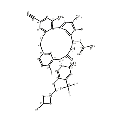 Cc1cc2cc(c1F)[C@H](CC(=O)O)NC(=O)[C@H](n1cc(CCN3CC(F)C3)c(C(F)(F)F)cc1=O)c1cc(ccc1F)COc1cc(C#N)cc(C)c1-2